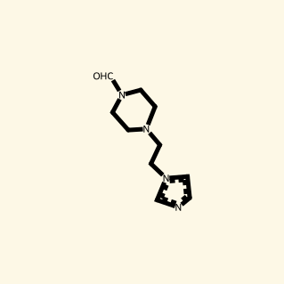 O=CN1CCN(CCn2ccnc2)CC1